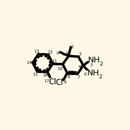 CC1(C)CC(N)(N)C=C(Cl)C1c1ccccc1Cl